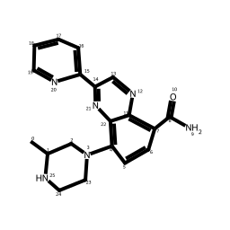 CC1CN(c2ccc(C(N)=O)c3ncc(-c4ccccn4)nc23)CCN1